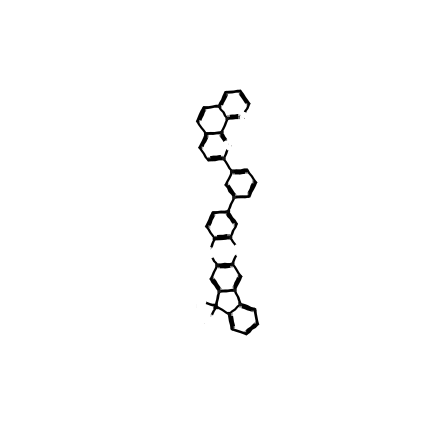 CC1(C)c2ccccc2-c2cc3c(cc21)Oc1ccc(-c2cccc(-c4ccc5ccc6cccnc6c5n4)c2)cc1O3